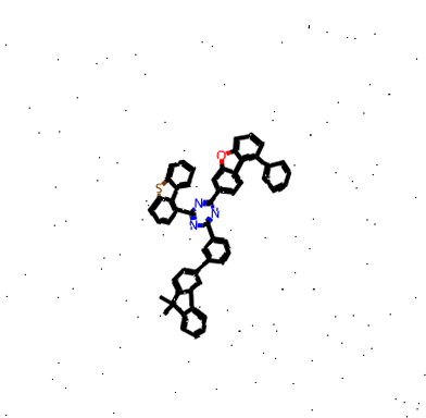 CC1(C)c2ccccc2-c2cc(-c3cccc(-c4nc(-c5ccc6c(c5)oc5cccc(-c7ccccc7)c56)nc(-c5cccc6sc7ccccc7c56)n4)c3)ccc21